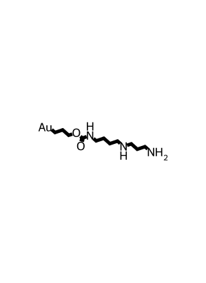 NCCCNCCCCNC(=O)OCC[CH2][Au]